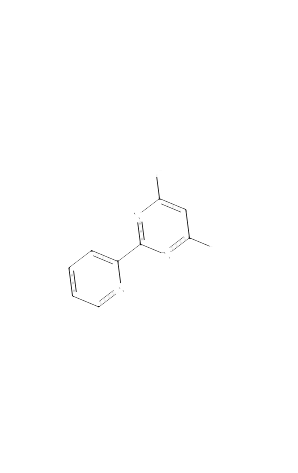 Oc1cc(O)nc(-c2ccccn2)n1